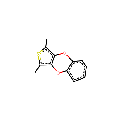 Cc1sc(C)c2c1Oc1ccccc1O2